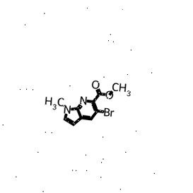 COC(=O)c1nc2c(ccn2C)cc1Br